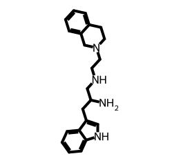 NC(CNCCN1CCc2ccccc2C1)Cc1c[nH]c2ccccc12